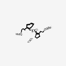 COCCC1=[C]([Zr+2][C]2=C(CCOC)C=CC2)CC=C1.[Cl-].[Cl-]